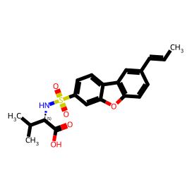 CC=Cc1ccc2oc3cc(S(=O)(=O)N[C@H](C(=O)O)C(C)C)ccc3c2c1